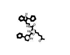 CC(=O)CCCCC[C@H](NC(=O)C1CC(c2ccccc2)CCN1)C(=O)NCCc1c(-c2ccccc2)[nH]c2ccccc12